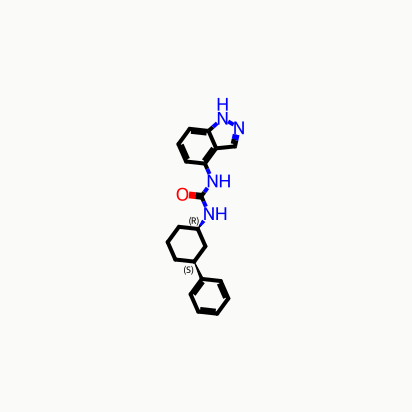 O=C(Nc1cccc2[nH]ncc12)N[C@@H]1CCC[C@H](c2ccccc2)C1